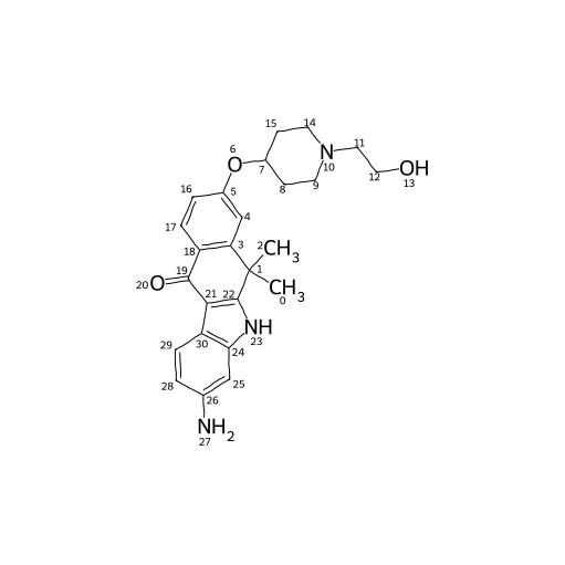 CC1(C)c2cc(OC3CCN(CCO)CC3)ccc2C(=O)c2c1[nH]c1cc(N)ccc21